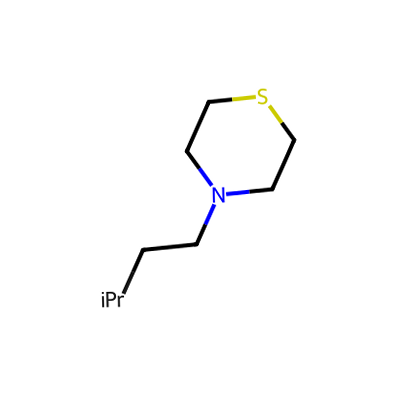 CC(C)CCN1CCSCC1